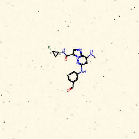 CNc1cc(Nc2cccc(C=O)c2)nn2c(C(=O)N[C@@H]3C[C@@H]3F)cnc12